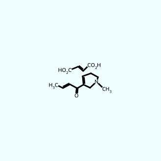 CC=CC(=O)C1=CCCN(C)C1.O=C(O)C=CC(=O)O